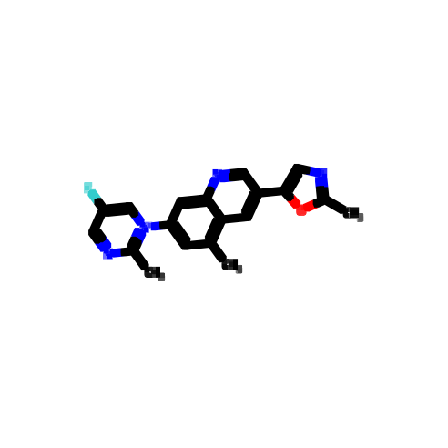 Cc1ncc(-c2cnc3cc(-[n+]4cc(F)cnc4C)cc(C)c3c2)o1